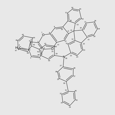 CC1C=CC2=C(C1)Oc1cc3c(cc1O2)C1(c2ccccc2-c2ccc(N(c4ccc(-c5ccccc5)cc4)c4ccc(-c5ccccc5)cc4)cc21)c1ccccc1-3